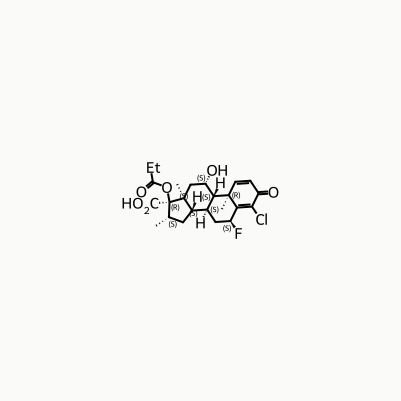 CCC(=O)O[C@]1(C(=O)O)[C@@H](C)C[C@H]2[C@@H]3C[C@H](F)C4=C(Cl)C(=O)C=C[C@]4(C)[C@H]3[C@@H](O)C[C@@]21C